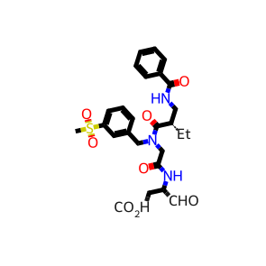 CC[C@@H](CNC(=O)c1ccccc1)C(=O)N(CC(=O)NC(C=O)CC(=O)O)Cc1cccc(S(C)(=O)=O)c1